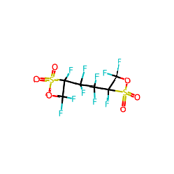 O=S1(=O)OC(F)(F)C1(F)C(F)(F)C(F)(F)C1(F)C(F)(F)OS1(=O)=O